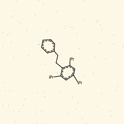 CC(C)c1cc(C(C)C)c(CCc2[c]cccc2)c(C(C)C)c1